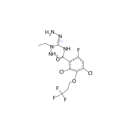 CCN(N)/C(=N\N)NC(=O)c1c(F)cc(Cl)c(OCCC(F)(F)F)c1Cl